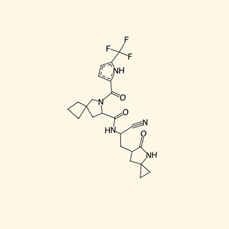 N#CC(CC1CC2(CC2)NC1=O)NC(=O)C1CC2(CCC2)CN1C(=O)c1ccc(C(F)(F)F)[nH]1